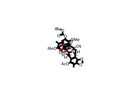 COc1cc2c(cc1OC(=O)OC(C)(C)C)CCN[C@]21S[C@@H]2c3c(OC(C)=O)c(C)c4c(c3[C@H](COC1=O)N1C2C2N[C@H](Cc3cc(C)c(OC)c(O)c32)[C@@H]1C#N)OCO4